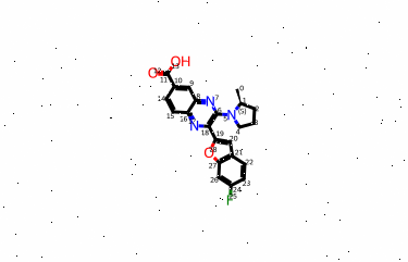 C[C@H]1CCCN1c1nc2cc(C(=O)O)ccc2nc1-c1cc2ccc(F)cc2o1